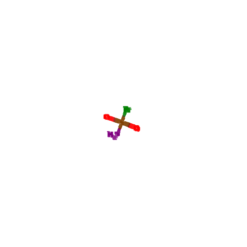 O=S(=O)(P)Br